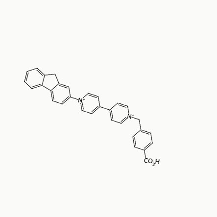 O=C(O)c1ccc(C[n+]2ccc(-c3cc[n+](-c4ccc5c(c4)Cc4ccccc4-5)cc3)cc2)cc1